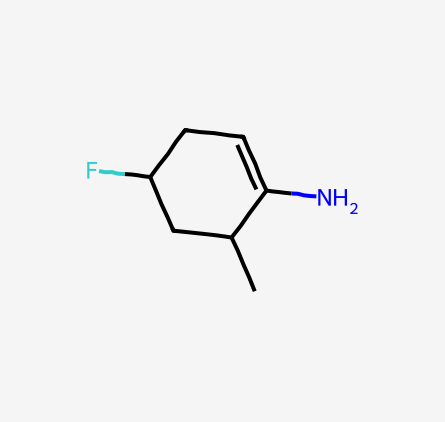 CC1CC(F)CC=C1N